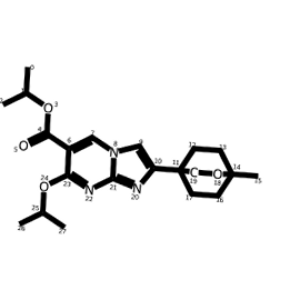 CC(C)OC(=O)c1cn2cc(C34CCC(C)(CC3)OC4)nc2nc1OC(C)C